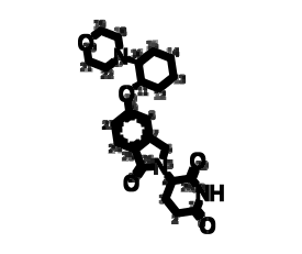 O=C1CCC(N2Cc3cc(O[C@@H]4CCCC[C@@H]4N4CCOCC4)ccc3C2=O)C(=O)N1